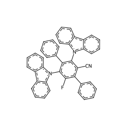 N#Cc1c(-c2ccccc2)c(F)c(-n2c3ccccc3c3ccccc32)c(-c2ccccc2)c1-n1c2ccccc2c2ccccc21